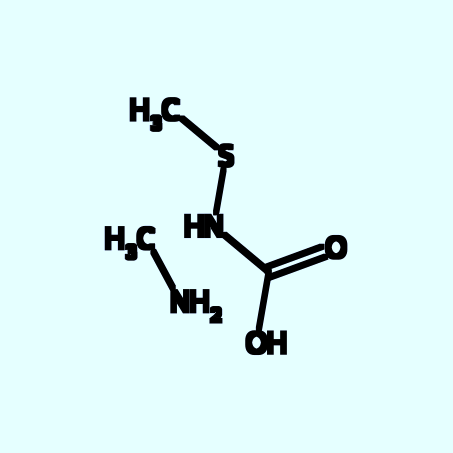 CN.CSNC(=O)O